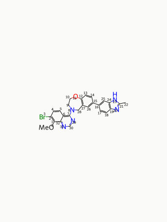 COc1c(Br)ccc2c(N3CCOc4ccc(-c5ccc6nc(C)[nH]c6c5)cc4C3)ncnc12